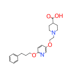 O=C(O)C1CCN(CCOc2ccc(OCCCc3ccccc3)nc2)CC1